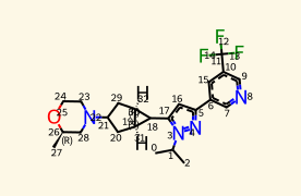 CC(C)n1nc(-c2cncc(C(F)(F)F)c2)cc1C1[C@H]2CC(N3CCO[C@H](C)C3)C[C@@H]12